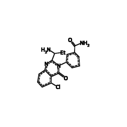 CCC(N)c1nc2cccc(Cl)c2c(=O)n1-c1cccc(C(N)=O)c1